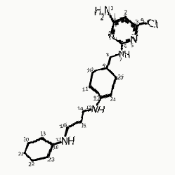 Nc1cc(Cl)nc(NCC2CCC(NCCCNC3CCCCC3)CC2)n1